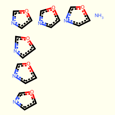 N.c1cocn1.c1cocn1.c1cocn1.c1cocn1.c1cocn1.c1cocn1